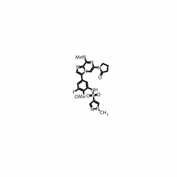 CNc1nc(N2CCCC2=O)cn2c(-c3cc(F)c(OC)c(NS(=O)(=O)c4cnn(C)c4)c3)cnc12